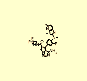 Cc1ccc2nc(Nc3ccc(-c4c(C(=O)NCC(F)(F)F)cn5ncnc(N)c45)cc3F)[nH]c2n1